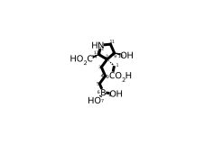 O=C(O)C[C@@]1(CCCB(O)O)[C@H](O)CN[C@@H]1C(=O)O